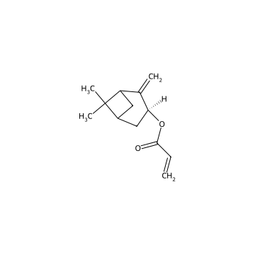 C=CC(=O)O[C@H]1CC2CC(C1=C)C2(C)C